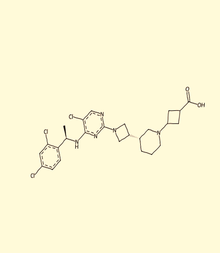 C[C@@H](Nc1nc(N2CC([C@H]3CCCN(C4CC(C(=O)O)C4)C3)C2)ncc1Cl)c1ccc(Cl)cc1Cl